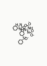 COC(=O)N=C(NC(=O)OC)Nc1cc([S+]([O-])c2ccccc2)ccc1N(C(N)=O)c1ccccc1